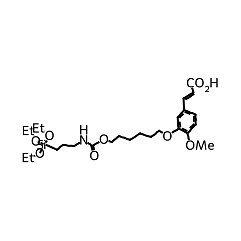 CCO[Si](CCCNC(=O)OCCCCCCOc1cc(/C=C/C(=O)O)ccc1OC)(OCC)OCC